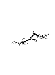 CCCCCCCCCCC(CCCCCCCC)COC(=O)CCCCCN(CCCl)CCCCCC(=O)OCC(CCCCCCCC)CCCCCCCCCC